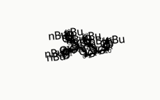 C=C(COCC(COCC1(C)COC(CCCC)(CCCC)OC1)COCC1(C)COC(CCCC)(CCCC)OC1)COCC(COCC1(C)COC(CCCC)(CCCC)OC1)COCC1(C)COC(CCCC)(CCCC)OC1